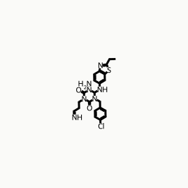 CCc1nc2ccc(NC3N(N)C(=O)N(CCC=N)C(=O)N3Cc3ccc(Cl)cc3)cc2s1